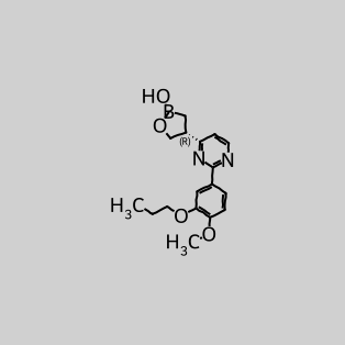 CCCOc1cc(-c2nccc([C@@H]3COB(O)C3)n2)ccc1OC